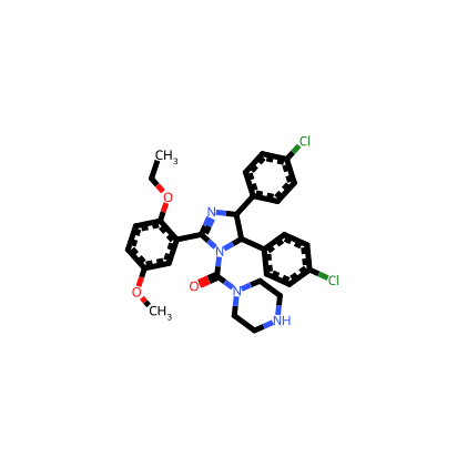 CCOc1ccc(OC)cc1C1=NC(c2ccc(Cl)cc2)C(c2ccc(Cl)cc2)N1C(=O)N1CCNCC1